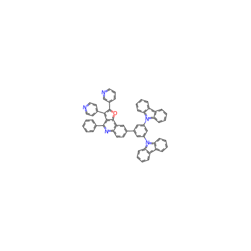 c1ccc(-c2nc3ccc(-c4cc(-n5c6ccccc6c6ccccc65)cc(-n5c6ccccc6c6ccccc65)c4)cc3c3oc(-c4cccnc4)c(-c4ccncc4)c23)cc1